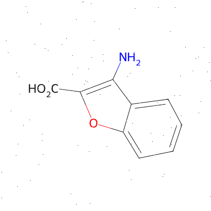 Nc1c(C(=O)O)oc2ccccc12